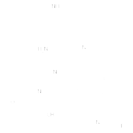 C[C@@H]1COCCN1c1cc(-c2cnc(F)cc2F)c2ccnc(/C(N)=C/C=N)c2n1